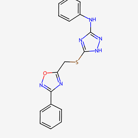 c1ccc(Nc2n[nH]c(SCc3nc(-c4ccccc4)no3)n2)cc1